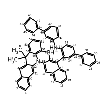 CC1(C)c2cc3ccccc3cc2N2c3cc4ccccc4c(-c4cc(-c5ccccc5)ccc4Nc4cccc(-c5ccccc5)c4)c3Bc3cccc1c32